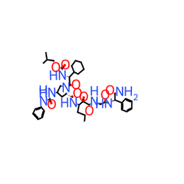 CCCC(NC(=O)[C@@H]1CC(NC(=O)Nc2ccccc2)CN1C(=O)[C@H](NC(=O)OCC(C)C)C1CCCCC1)C(=O)C(=O)NCC(=O)N[C@@H](C(N)=O)c1ccccc1